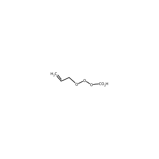 C=CCOOOC(=O)O